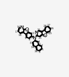 c1ccc2cc(N(c3ccc4c(c3)oc3ncccc34)c3cc4oc5ccccc5c4cn3)ccc2c1